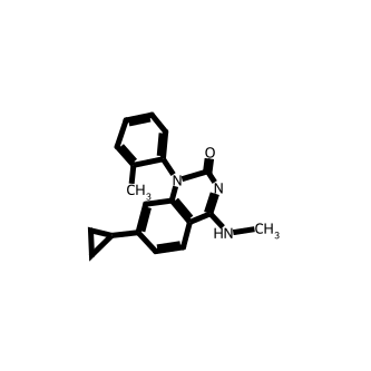 CNc1nc(=O)n(-c2ccccc2C)c2cc(C3CC3)ccc12